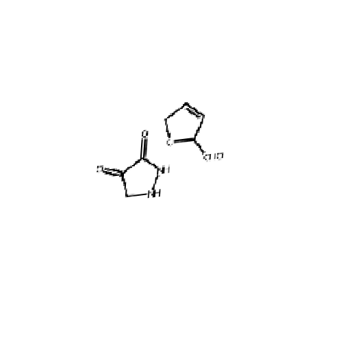 O=C1CNNC1=O.O=CC1C=CCO1